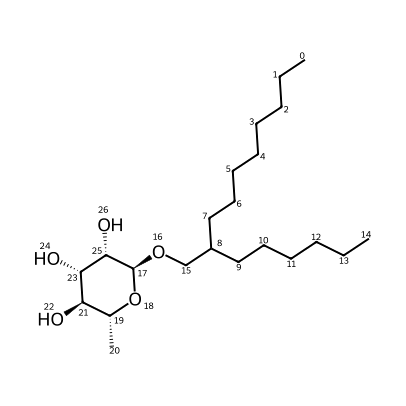 CCCCCCCCC(CCCCCC)CO[C@H]1O[C@H](C)[C@@H](O)[C@H](O)[C@@H]1O